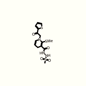 CSC1=C(C(=O)NNS(C)(=O)=O)CC=CN1CC(=O)c1cccs1